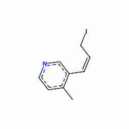 Cc1ccncc1/C=C\CI